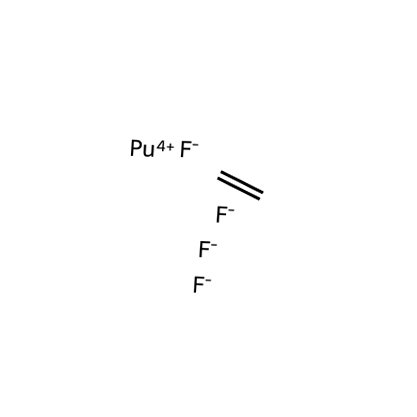 C=C.[F-].[F-].[F-].[F-].[Pu+4]